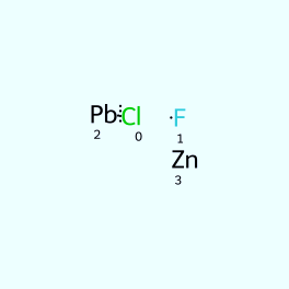 [Cl].[F].[Pb].[Zn]